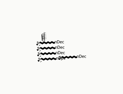 CCCCCCCCCCCCCCCCCC[P+](C)(C)C.CCCCCCCCCCCCCCCCCC[P+](C)(C)C.CCCCCCCCCCCCCCCCCC[P+](C)(C)C.CCCCCCCCCCCCCCCCCC[P+](C)(C)C.CCCCCCCCCCCCCCCCCC[P+](C)(C)C.[Cl-].[Cl-].[Cl-].[Cl-].[I-]